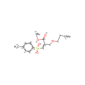 COCCOCC(=CS(=O)(=O)c1ccc(C)cc1)C(=O)OC(C)(C)C